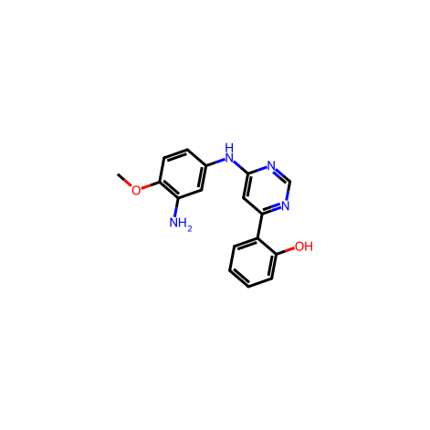 COc1ccc(Nc2cc(-c3ccccc3O)ncn2)cc1N